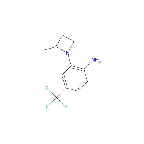 CC1CCN1c1cc(C(F)(F)F)ccc1N